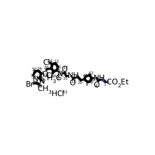 CCOC(=O)/C=C/C(=O)Nc1ccc(C=CC(=O)NCC(=O)N(C)c2ccc(Cl)c(COc3cccn4c(Br)c(C)nc34)c2Cl)cc1.Cl